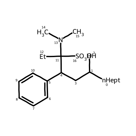 CCCCCCCC(O)CC(c1ccccc1)C(CC)(N(C)C)S(=O)(=O)O